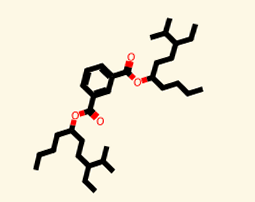 CCCCC(CCC(CC)C(C)C)OC(=O)c1cccc(C(=O)OC(CCCC)CCC(CC)C(C)C)c1